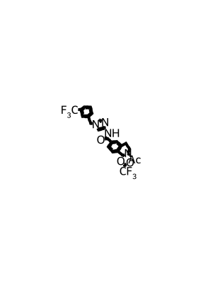 CC(=O)N1CCc2cc(C(=O)Nc3cn(Cc4cccc(C(F)(F)F)c4)cn3)ccc2C1OC(=O)C(F)(F)F